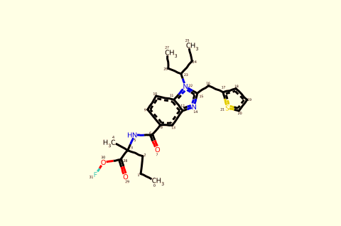 CCCC(C)(NC(=O)c1ccc2c(c1)nc(Cc1cccs1)n2C(CC)CC)C(=O)OF